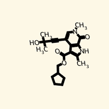 Cc1[nH]c2c(=O)n(C)cc(C#CC(C)(C)O)c2c1C(=O)OCC1CCCC1